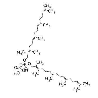 CC(C)=CCC/C(C)=C/CC/C(C)=C/CC/C(C)=C(\C)COP(=O)(OC/C(C)=C(\C)CC/C=C(\C)CC/C=C(\C)CCC=C(C)C)OP(=O)(O)O